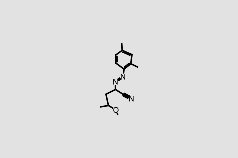 COC(C)CC(C#N)N=Nc1ccc(C)cc1C